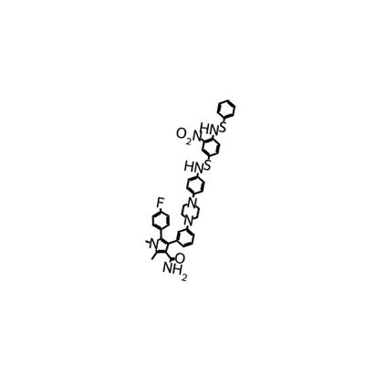 Cc1c(C(N)=O)c(-c2cccc(N3CCN(c4ccc(NSc5ccc(NSc6ccccc6)c([N+](=O)[O-])c5)cc4)CC3)c2)c(-c2ccc(F)cc2)n1C